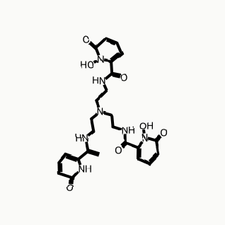 C=C(NCCN(CCNC(=O)c1cccc(=O)n1O)CCNC(=O)c1cccc(=O)n1O)c1cccc(=O)[nH]1